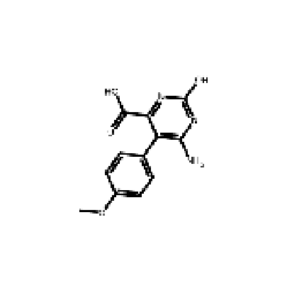 COc1ccc(-c2c(N)nc(O)nc2C(=O)O)cc1